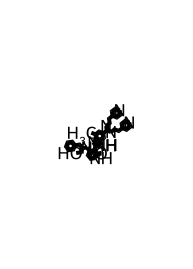 Cc1cc(C(=NCCc2ccncc2)NCCc2ccncc2)cc2[nH]c(-c3c(NC(CO)Cc4ccccc4)cc[nH]c3=O)nc12